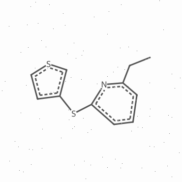 CCc1cccc(Sc2ccsc2)n1